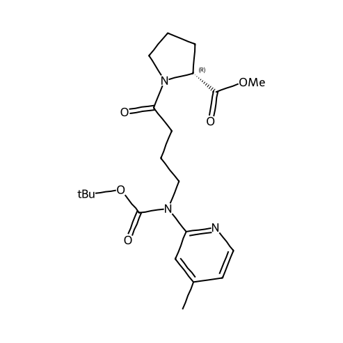 COC(=O)[C@H]1CCCN1C(=O)CCCN(C(=O)OC(C)(C)C)c1cc(C)ccn1